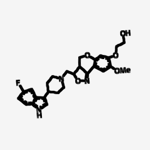 COc1cc2c(cc1OCCO)OCC1C2=NOC1CN1CCC(c2c[nH]c3ccc(F)cc23)CC1